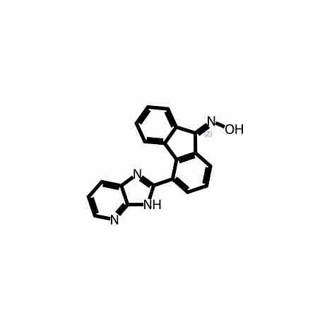 O/N=C1/c2ccccc2-c2c1cccc2-c1nc2cccnc2[nH]1